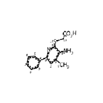 Cc1cc(-c2ccccc2)nc(SCC(=O)O)c1N